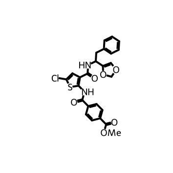 COC(=O)c1ccc(C(=O)Nc2sc(Cl)cc2C(=O)NC(Cc2ccccc2)C2=COCO2)cc1